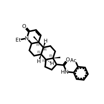 CCN1C(=O)C=C[C@@]2(C)C1CC[C@@H]1[C@H]2CC[C@]2(C)C(C(=O)Nc3ccccc3C(C)=O)CC[C@@H]12